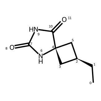 CC[C@H]1C[C@@]2(C1)NC(=O)NC2=O